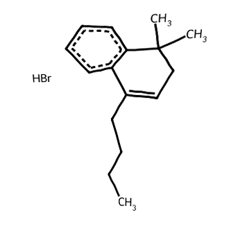 Br.CCCCC1=CCC(C)(C)c2ccccc21